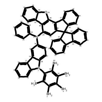 Bc1c(B)c(B)c(-n2c3ccccc3c3cc(N(c4ccccc4)c4cc5c(c6oc7ccccc7c46)-c4ccccc4C54c5ccccc5-c5ccccc54)ccc32)c(B)c1B